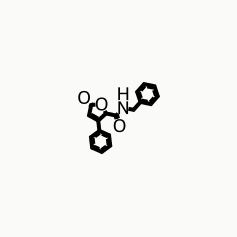 O=C1C=C(c2ccccc2)C(C(=O)NCc2ccccc2)O1